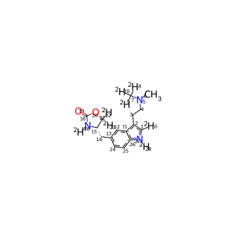 [2H]c1c(CCN(C)C([2H])([2H])[2H])c2cc(C[C@@H]3N([2H])C(=O)OC3([2H])[2H])ccc2n1[2H]